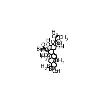 BC1(B)C2CC[C@@]3(B)C4C(=CCC3[C@@]2(B)CC[C@@H]1O)C1C[C@@](B)(S)[C@@H](OC(=O)/C(C)=C\C)[C@H](O)[C@]1(COC(=O)C(C)CC)[C@H](O)[C@@H]4O